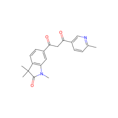 Cc1ccc(C(=O)CC(=O)c2ccc3c(c2)N(C)C(=O)C3(C)C)cn1